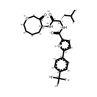 CC(C)C[C@H](NC(=O)c1ccc(-c2ccc(C(F)(F)F)cc2)o1)C(=O)N[C@H]1CCCCOCC1=O